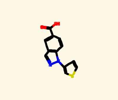 O=C(O)c1ccc2c(cnn2-c2ccsc2)c1